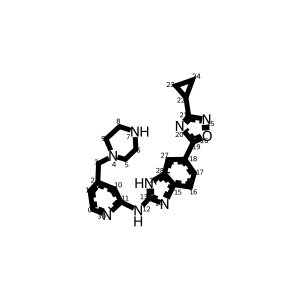 c1cc(CN2CCNCC2)cc(Nc2nc3ccc(-c4nc(C5CC5)no4)cc3[nH]2)n1